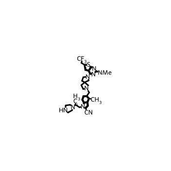 CNc1nc(N2CCC3(CCN(Cc4ccc5c(cc(C#N)n5C[C@H](C)N5CCNCC5)c4C)C3)C2)c2cc(CC(F)(F)F)sc2n1